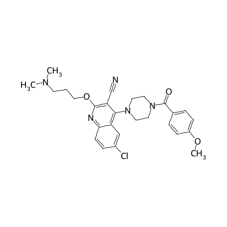 COc1ccc(C(=O)N2CCN(c3c(C#N)c(OCCCN(C)C)nc4ccc(Cl)cc34)CC2)cc1